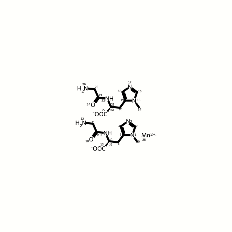 Cn1cncc1C[C@H](NC(=O)CN)C(=O)[O-].Cn1cncc1C[C@H](NC(=O)CN)C(=O)[O-].[Mn+2]